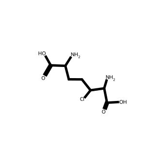 NC(CCC(Cl)C(N)C(=O)O)C(=O)O